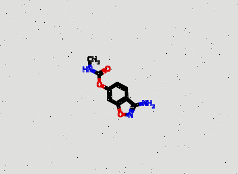 CNC(=O)Oc1ccc2c(N)noc2c1